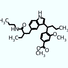 CCCNC(=O)C(CC)Cc1ccc2[nH]cc(C(CCC)c3ccc(C(=O)OC)cc3OC)c2c1